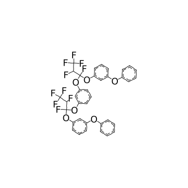 FC(C(F)(F)F)C(F)(Oc1cccc(Oc2ccccc2)c1)Oc1cccc(OC(F)(Oc2cccc(Oc3ccccc3)c2)C(F)C(F)(F)F)c1